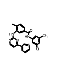 Cc1ccc(C(=O)Nc2cc(Cl)cc(C(F)(F)F)c2)cc1Nc1nccc(-c2cccnc2)n1